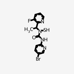 CC(c1ncccc1F)N(S)C(=O)Nc1ccc(Br)cn1